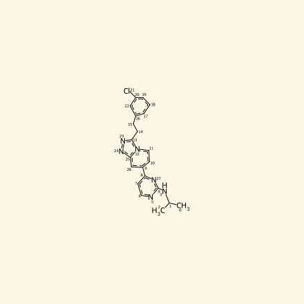 CC(C)Nc1nccc(-c2ccn3c(CCc4cccc(Cl)c4)nnc3c2)n1